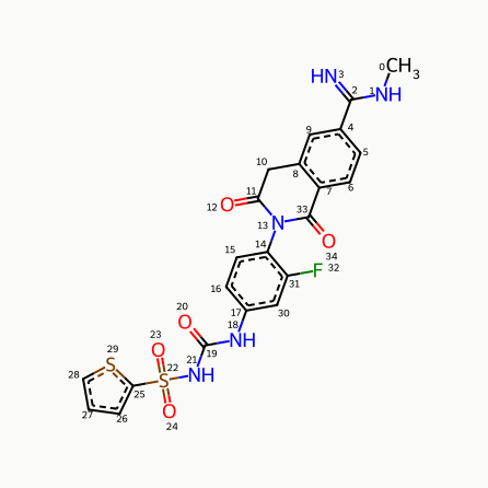 CNC(=N)c1ccc2c(c1)CC(=O)N(c1ccc(NC(=O)NS(=O)(=O)c3cccs3)cc1F)C2=O